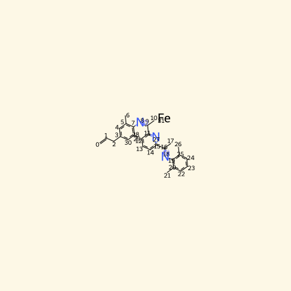 C=CCc1cc(C)c(/N=C(/C)c2cccc(/C(C)=N/c3c(C)cccc3C)n2)c(C)c1.[Fe]